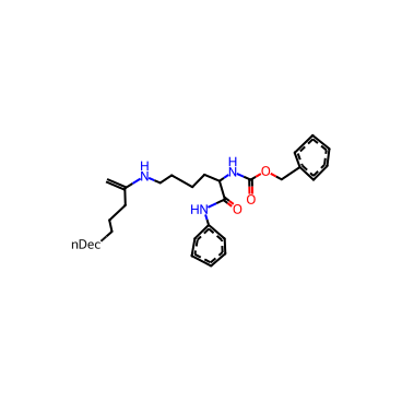 C=C(CCCCCCCCCCCCC)NCCCCC(NC(=O)OCc1ccccc1)C(=O)Nc1ccccc1